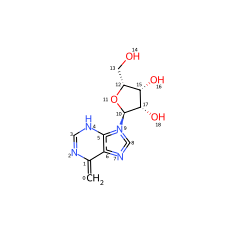 C=C1N=CNc2c1ncn2[C@H]1O[C@H](CO)[C@H](O)[C@@H]1O